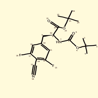 CC(C)(C)OC(=O)N[C@@H](Cc1cc(F)c(C#N)c(F)c1)C(=O)OC(C)(C)C